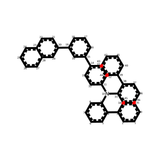 c1ccc(-c2ccccc2N(c2ccc(-c3cccc(-c4ccc5ccccc5c4)c3)cc2)c2ccccc2-c2ccccc2)cc1